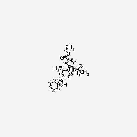 CCOC(=O)c1ccc(NC(C)=O)c(-c2c(C)cc(OCC3(O)CCSCC3)cc2C)c1